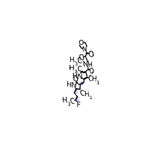 C=C1/C(=C/c2[nH]c(C)c(C(=O)NCC(OC)C(=O)N3CCOCC3)c2C)C(=O)N/C1=C/C=C(\C)F